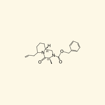 C=CCC1CCC[C@@H]2CN(C(=O)OCc3ccccc3)[C@@H](C)C(=O)N12